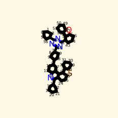 c1ccc(-c2nc(-c3ccc(-c4ccc5nc(-c6ccccc6)c6ccc7sc8ccccc8c7c6c5c4)cc3)nc(-c3cccc4oc5ccccc5c34)n2)cc1